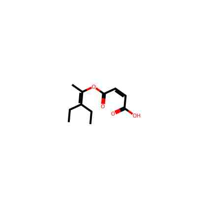 CCC(CC)=C(C)OC(=O)/C=C\C(=O)O